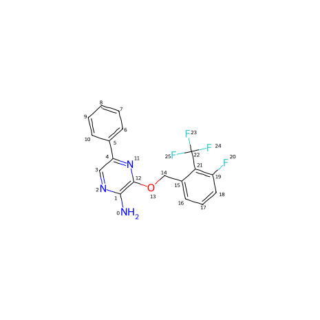 Nc1ncc(-c2cc[c]cc2)nc1OCc1cccc(F)c1C(F)(F)F